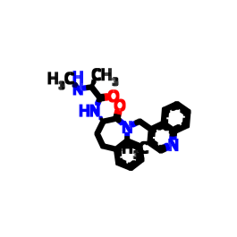 CN[C@@H](C)C(=O)N[C@H]1CCc2ccccc2N(Cc2c(C)cnc3ccccc23)C1=O